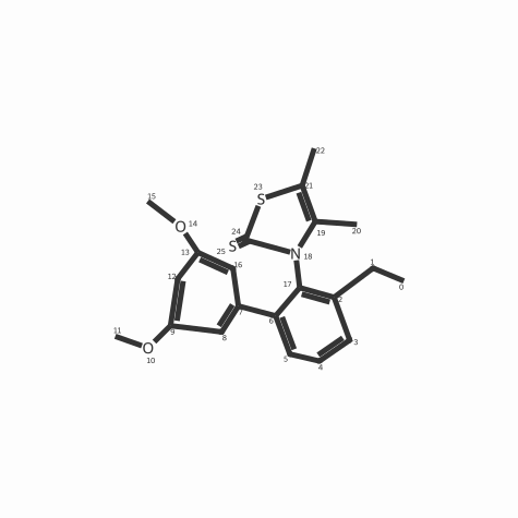 CCc1cccc(-c2cc(OC)cc(OC)c2)c1-n1c(C)c(C)sc1=S